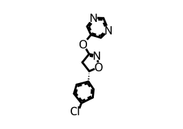 Clc1ccc([C@@H]2CC(Oc3cncnc3)=NO2)cc1